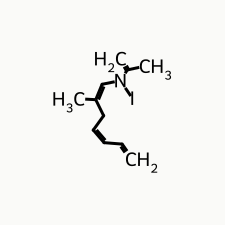 C=C/C=C\C/C(C)=C\N(I)C(=C)C